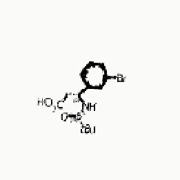 CC(C)(C)[S@+]([O-])N[C@H](CC(=O)O)c1cccc(Br)c1